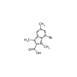 Cc1cc(Br)c2c(c1)c(C)c(C(=O)O)n2C